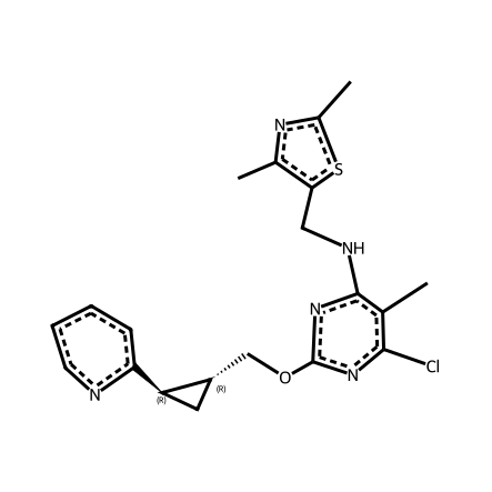 Cc1nc(C)c(CNc2nc(OC[C@@H]3C[C@H]3c3ccccn3)nc(Cl)c2C)s1